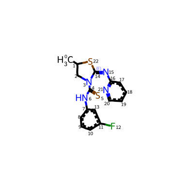 CC1CN(C(=S)Nc2cccc(F)c2)/C(=N\c2ccccn2)S1